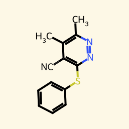 Cc1nnc(Sc2ccccc2)c(C#N)c1C